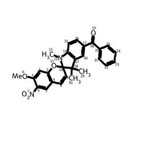 COc1cc2c(cc1[N+](=O)[O-])C=CC1(O2)N(C)c2ccc(C(=O)c3ccccc3)cc2C1(C)C